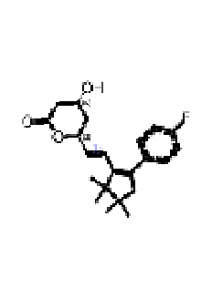 CC1(C)CC(c2ccc(F)cc2)=C(/C=C/[C@@H]2C[C@@H](O)CC(=O)O2)C1(C)C